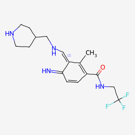 CC1=C(C(=O)NCC(F)(F)F)C=CC(=N)/C1=C\NCC1CCNCC1